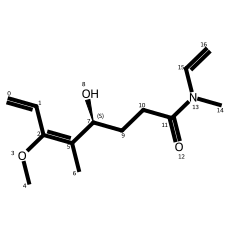 C=CC(OC)=C(C)[C@@H](O)CCC(=O)N(C)C=C